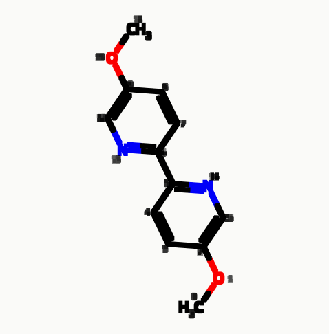 COc1ccc(-c2ccc(OC)cn2)nc1